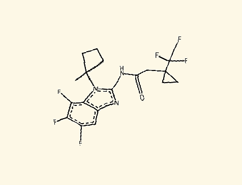 CC1(n2c(NC(=O)CC3(C(F)(F)F)CC3)nc3cc(F)c(F)c(F)c32)CCC1